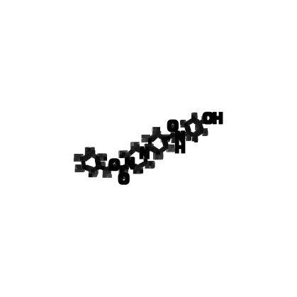 O=C(Nc1ccc(O)cc1)c1ccc(N2CCN(C(=O)OCc3ccccc3)CC2)cc1